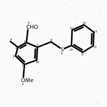 COc1cc(C)c(C=O)c(CSc2ccccc2)c1